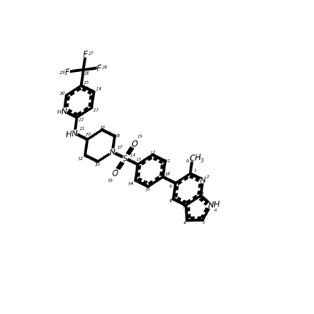 Cc1nc2[nH]ccc2cc1-c1ccc(S(=O)(=O)N2CCC(Nc3ccc(C(F)(F)F)cn3)CC2)cc1